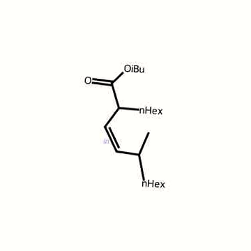 CCCCCCC(C)/C=C\C(CCCCCC)C(=O)OCC(C)C